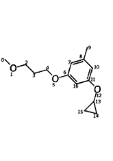 COCCCOc1cc(C)cc(OC2CC2)c1